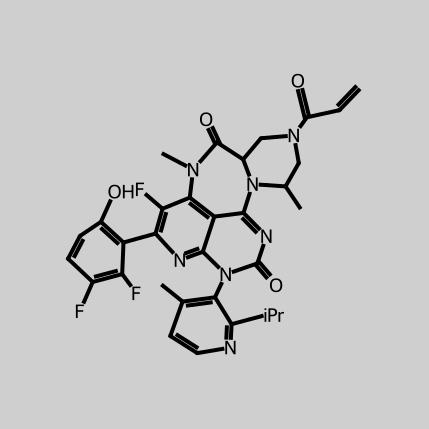 C=CC(=O)N1CC(C)N2c3nc(=O)n(-c4c(C)ccnc4C(C)C)c4nc(-c5c(O)ccc(F)c5F)c(F)c(c34)N(C)C(=O)C2C1